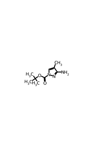 Cc1cn(C(=O)OC(C)(C)C)nc1N